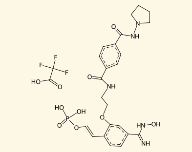 N=C(NO)c1ccc(C=COP(=O)(O)O)c(OCCNC(=O)c2ccc(C(=O)NN3CCCC3)cc2)c1.O=C(O)C(F)(F)F